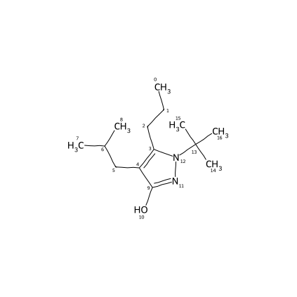 CCCc1c(CC(C)C)c(O)nn1C(C)(C)C